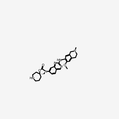 COc1cc2c(cc1Nc1ncc3ccc(N4C[C@@]5(CCCNCC5)OC4=O)cc3n1)CN(C)CC2